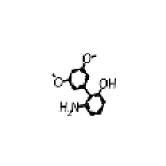 COc1cc(OC)cc(-c2c(N)cccc2O)c1